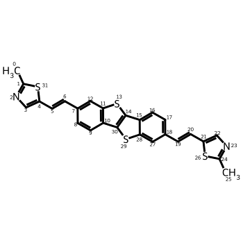 Cc1ncc(/C=C/c2ccc3c(c2)sc2c4ccc(/C=C/c5cnc(C)s5)cc4sc32)s1